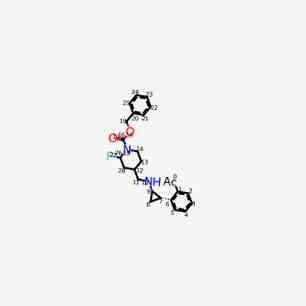 CC(=O)c1ccccc1[C@@H]1C[C@H]1NCC1CCN(C(=O)OCc2ccccc2)C(F)C1